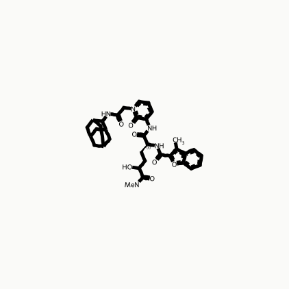 CNC(=O)C(O)CC[C@H](NC(=O)c1oc2ccccc2c1C)C(=O)Nc1cccn(CC(=O)NC2C3CC4CC(C3)CC2C4)c1=O